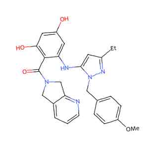 CCc1cc(Nc2cc(O)cc(O)c2C(=O)N2Cc3cccnc3C2)n(Cc2ccc(OC)cc2)n1